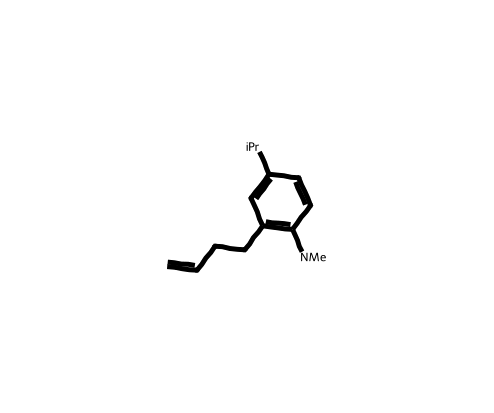 C=CCCc1cc(C(C)C)ccc1NC